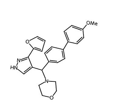 COc1ccc(-c2ccc(C(c3c[nH]nc3-c3ccco3)N3CCOCC3)cc2)cc1